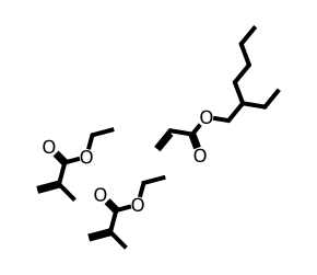 C=C(C)C(=O)OCC.C=C(C)C(=O)OCC.C=CC(=O)OCC(CC)CCCC